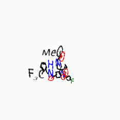 COC(=O)CN1CCC2(CC1)c1cc(C(=O)NCc3ccccc3C(F)(F)F)ccc1N(S(=O)(=O)c1ccc(F)cc1)C2C1CC1